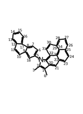 Cc1c(C)n(-c2ccc3c(ccc4ccccc43)c2)c2c1cc1ccc3cccc4ccc2c1c34